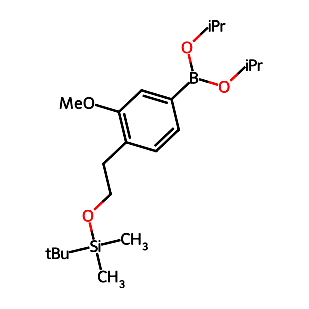 COc1cc(B(OC(C)C)OC(C)C)ccc1CCO[Si](C)(C)C(C)(C)C